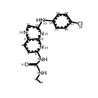 CCNC(=O)Nc1ccc2ncc(Nc3ccc(Cl)cc3)nc2n1